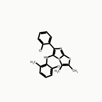 Cc1cccc(Cl)c1Nc1c(-c2ccccc2Cl)nc2sc(C)c(C)n12